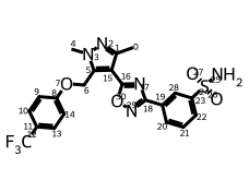 Cc1nn(C)c(COc2ccc(C(F)(F)F)cc2)c1-c1nc(-c2cccc(S(N)(=O)=O)c2)no1